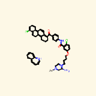 C1=CNc2ccccc2C=C1.CC(=O)N1CCN(CCCCOc2ccc(Cl)c(C(=O)Nc3ccc(C(=O)C4=c5ccc6c(c5CCC4)CC=c4c(Cl)cccc4=6)cc3)c2)C(N)C1